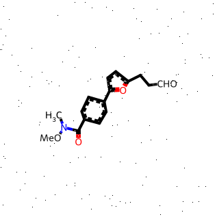 CON(C)C(=O)c1ccc(-c2ccc(CCC=O)o2)cc1